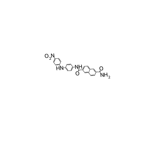 NC(=O)c1ccc2cc(C(=O)Nc3ccc(Nc4ccc([N+](=O)[O-])cc4)cc3)ccc2c1